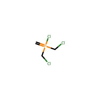 C=P(Cl)(CCl)CCl